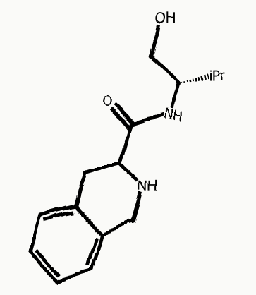 CC(C)[C@@H](CO)NC(=O)C1Cc2ccccc2CN1